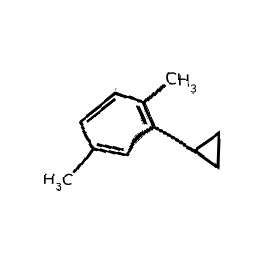 Cc1c[c]c(C)c(C2CC2)c1